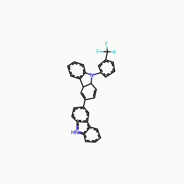 FC(F)(F)c1cccc(N2c3ccccc3C3C=C(c4ccc5[nH]c6ccccc6c5c4)C=CC32)c1